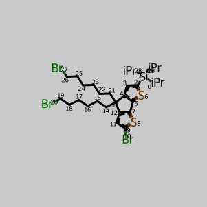 CC(C)[Si](c1cc2c(s1)-c1sc(Br)cc1C2(CCCCCCBr)CCCCCCBr)(C(C)C)C(C)C